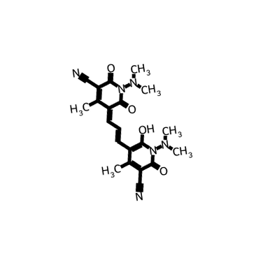 CC1=C(C#N)C(=O)N(N(C)C)C(=O)C1=CC=Cc1c(C)c(C#N)c(=O)n(N(C)C)c1O